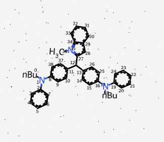 CCCCN(c1ccccc1)c1ccc(C(c2ccc(N(CCCC)c3ccccc3)cc2)c2cc3ccccc3n2C)cc1